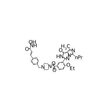 CCCc1nc(C)c2c(=O)[nH]c(-c3cc(S(=O)(=O)N4CCN(Cc5ccc(C=CC(=O)NO)cc5)CC4)ccc3OCC)nn12